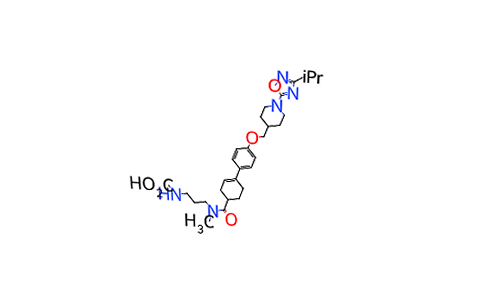 CC(C)c1noc(N2CCC(COc3ccc(C4=CCC(C(=O)N(C)CCCNC(=O)O)CC4)cc3)CC2)n1